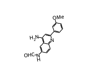 COc1cccc(-c2cc(N)c3cc(NC=O)ccc3n2)c1